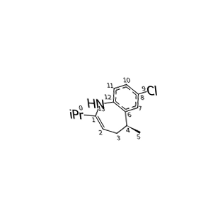 CC(C)C1=CC[C@H](C)c2cc(Cl)ccc2N1